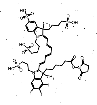 CC1(CCCCCC(=O)ON2C(=O)CCC2=O)C(/C=C/C=C/C=C/C=C2\N(CCCCS(=O)(=O)O)c3ccc(S(=O)(=O)O)cc3C2(C)CCCCS(=O)(=O)O)=[N+](CCCS(=O)(=O)O)c2cc(I)c(I)c(I)c21